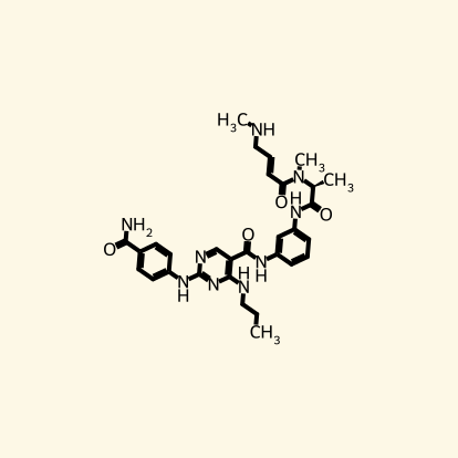 CCCNc1nc(Nc2ccc(C(N)=O)cc2)ncc1C(=O)Nc1cccc(NC(=O)[C@H](C)N(C)C(=O)/C=C/CNC)c1